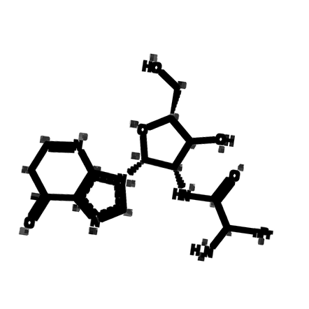 CCCC(N)C(=O)N[C@H]1C(O)[C@@H](CO)O[C@H]1n1cnc2c1N=CCC2=O